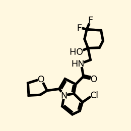 O=C(NCC1(O)CCCC(F)(F)C1)c1cc(C2CCCO2)n2cccc(Cl)c12